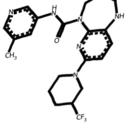 Cc1cncc(NC(=O)N2CCCNc3ccc(N4CCCC(C(F)(F)F)C4)nc32)c1